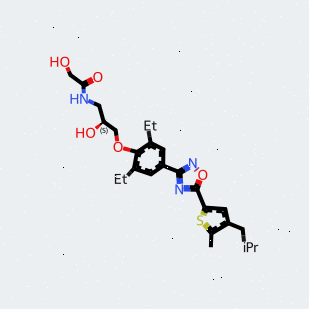 CCc1cc(-c2noc(-c3cc(CC(C)C)c(C)s3)n2)cc(CC)c1OC[C@@H](O)CNC(=O)CO